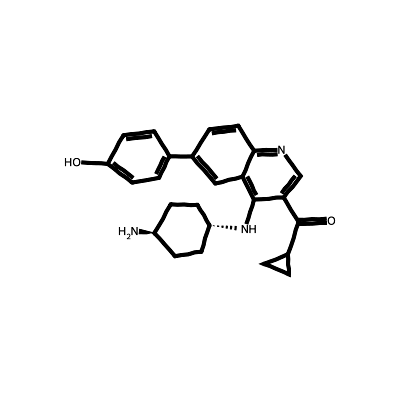 N[C@H]1CC[C@H](Nc2c(C(=O)C3CC3)cnc3ccc(-c4ccc(O)cc4)cc23)CC1